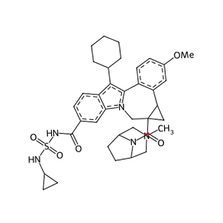 COc1ccc2c(c1)C1CC1(C(=O)N1C3CCC1CN(C)C3)Cn1c-2c(C2CCCCC2)c2ccc(C(=O)NS(=O)(=O)NC3CC3)cc21